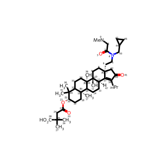 CNCC(=O)N(CC[C@@]12CC[C@]3(C)[C@H](CCC4[C@@]5(C)CC[C@H](OC(=O)CC(C)(C)C(=O)O)C(C)(C)C5CC[C@]43C)C1=C(C(C)C)C(=O)C2)CC1CC1